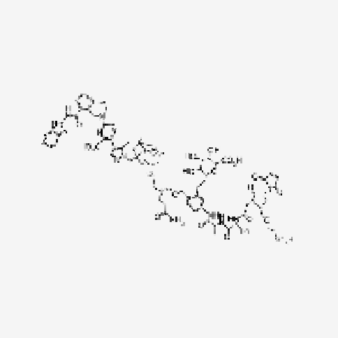 Cc1c(-c2ccc(N3CCc4cccc(C(=O)Nc5nc6ccccc6s5)c4C3)nc2C(=O)O)cnn1CC12CC3(OCCN(CCC(N)=O)COCc4ccc(NC(=O)[C@H](C)NC(=O)[C@@H](NC(=O)CN5C(=O)[C@@H](N6C(=O)C=CC6=O)C[C@H]5COCCS(=O)(=O)O)C(C)C)cc4CC[C@@H]4O[C@H](C(=O)O)[C@@H](O)[C@H](O)C4O)CC4(C)CC(C)(C1)C2(C4)C3